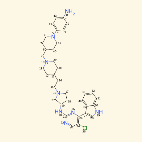 Nc1ccc(N2CCC(CN3CCC(CCN4CCC(Nc5ncc(Cl)c(-c6c[nH]c7ccccc67)n5)C4)CC3)CC2)cc1